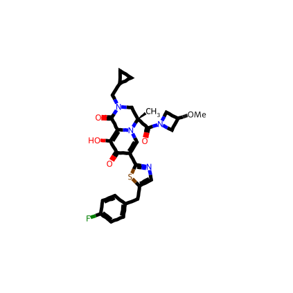 COC1CN(C(=O)[C@@]2(C)CN(CC3CC3)C(=O)c3c(O)c(=O)c(-c4ncc(Cc5ccc(F)cc5)s4)cn32)C1